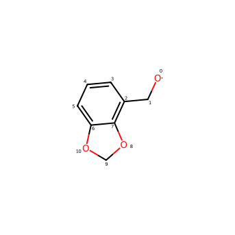 [O]Cc1cccc2c1OCO2